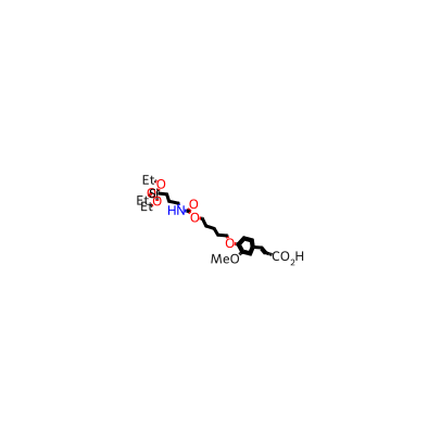 CCO[Si](CCCNC(=O)OCCCCCOc1ccc(C=CC(=O)O)cc1OC)(OCC)OCC